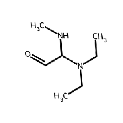 CCN(CC)C(C=O)NC